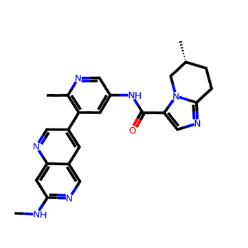 CNc1cc2ncc(-c3cc(NC(=O)c4cnc5n4C[C@H](C)CC5)cnc3C)cc2cn1